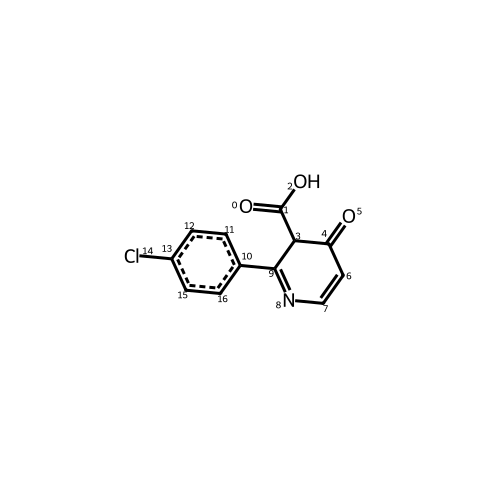 O=C(O)C1C(=O)C=CN=C1c1ccc(Cl)cc1